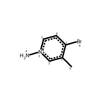 Cc1c[n+](N)ccc1Br